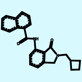 O=C(Nc1cccc2c1C(=O)N(CC1CCC1)C2)c1cccc2ccccc12